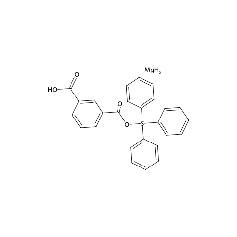 O=C(O)c1cccc(C(=O)OS(c2ccccc2)(c2ccccc2)c2ccccc2)c1.[MgH2]